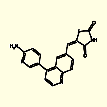 Nc1ccc(-c2ccnc3ccc(C=C4SC(=O)NC4=O)cc23)cn1